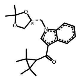 CC1(C)OC[C@@H](Cn2cc(C(=O)C3C(C)(C)C3(C)C)c3ccccc32)O1